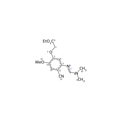 CCOC(=O)COc1cc(/N=C/N(C)C)c(C#N)cc1OC